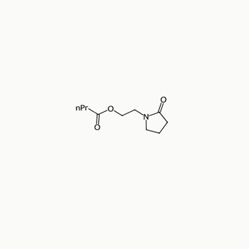 CCCC(=O)OCCN1CCCC1=O